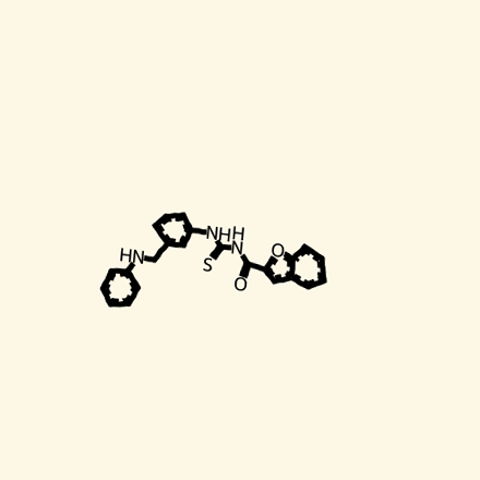 O=C(NC(=S)Nc1cccc(CNc2ccccc2)c1)c1cc2ccccc2o1